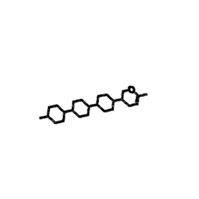 CC1=CCC(C2CCC(C3CCC(C4CCC(C)CC4)CC3)CC2)CO1